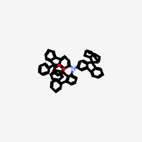 c1ccc(-c2cccc(N(c3ccc4c(c3)-c3ccccc3C43C4CC5CC(C4)C3C5)c3ccc4c(c3)C(c3ccccc3)(c3ccccc3)c3ccccc3-4)c2-c2ccccc2)cc1